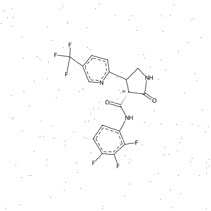 O=C1NCC(c2ccc(C(F)(F)F)cn2)[C@H]1C(=O)Nc1ccc(F)c(F)c1F